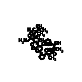 CC[C@H](C)[C@@H]([C@@H](CC(=O)N1CCC[C@H]1[C@H](OC)[C@@H](C)C(=O)N[C@H](C)[C@@H](O)c1ccccc1)OC)N(C)C(=O)[C@@H](NC(=O)C(C)(C)N(C)C)C(C)CN